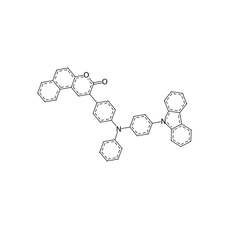 O=c1oc2ccc3ccccc3c2cc1-c1ccc(N(c2ccccc2)c2ccc(-n3c4ccccc4c4ccccc43)cc2)cc1